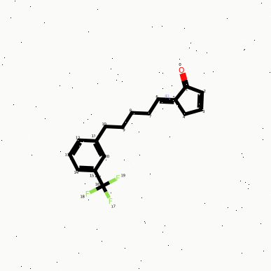 O=C1C=CC/C1=C\CCCCc1cccc(C(F)(F)F)c1